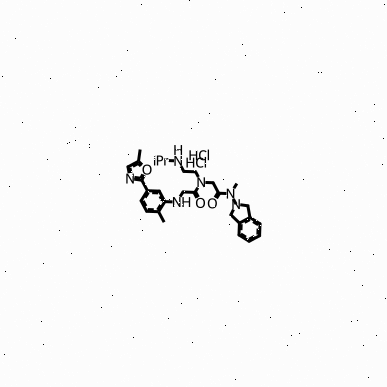 Cc1cnc(-c2ccc(C)c(NCC(=O)N(CCNC(C)C)CC(=O)N(C)N3Cc4ccccc4C3)c2)o1.Cl.Cl